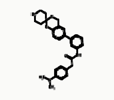 CN(C)c1ccc(CC(=O)Nc2cccc(-c3ccc4c(c3)COC3(CCNCC3)O4)c2)cc1